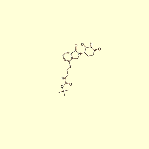 CC(C)(C)OC(=O)NCCSc1cccc2c1CN(C1CCC(=O)NC1=O)C2=O